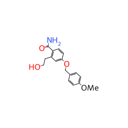 COc1ccc(COc2ccc(C(N)=O)c(CCO)c2)cc1